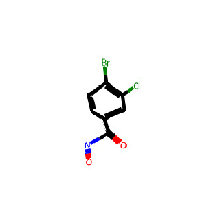 O=NC(=O)c1ccc(Br)c(Cl)c1